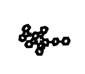 c1ccc(-c2ccc(-c3cc(-c4ccccc4)nc(-n4c5ccccc5c5cc(-n6c7ccccc7c7ccccc76)c6c7ccccc7n(-c7ccccc7)c6c54)c3)cc2)cc1